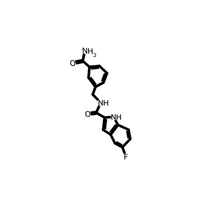 NC(=O)c1cccc(CNC(=O)c2cc3cc(F)ccc3[nH]2)c1